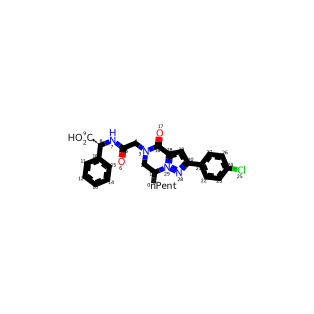 CCCCCC1CN(CC(=O)N[C@@H](C(=O)O)c2ccccc2)C(=O)c2cc(-c3ccc(Cl)cc3)nn21